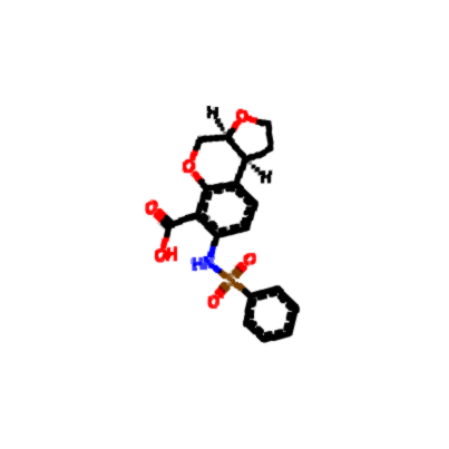 O=C(O)c1c(NS(=O)(=O)c2ccccc2)ccc2c1OC[C@H]1OCC[C@@H]21